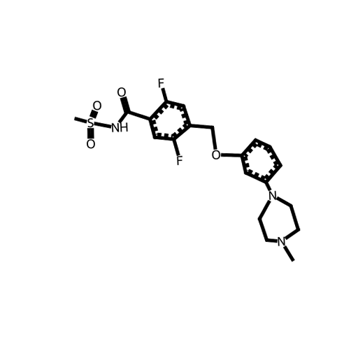 CN1CCN(c2cccc(OCc3cc(F)c(C(=O)NS(C)(=O)=O)cc3F)c2)CC1